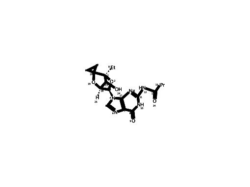 CC[C@@]12O[C@@H](n3cnc4c(=O)[nH]c(NC(=O)C(C)C)nc43)[C@@H](OC13CC3)C2O